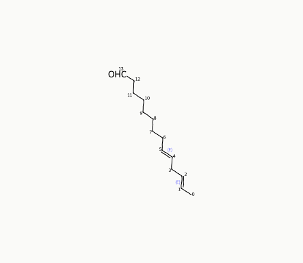 C/C=C/C/C=C/CCCCCCCC=O